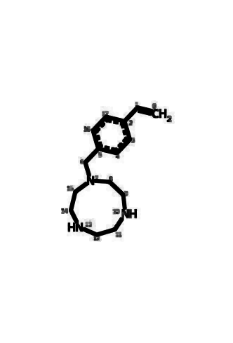 C=Cc1ccc(CN2CCNCCNCC2)cc1